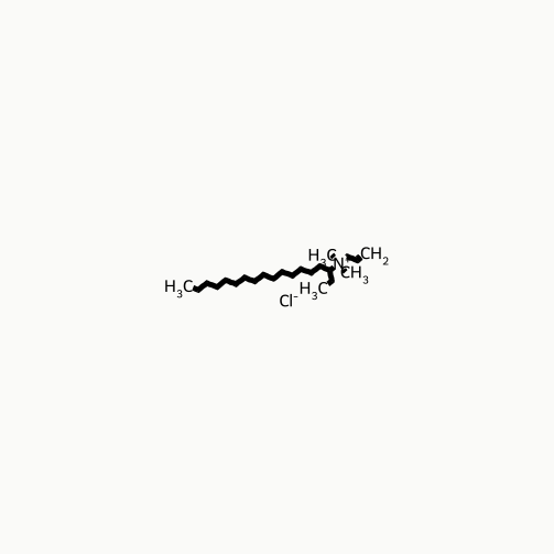 C=CC[N+](C)(C)C(CC)CCCCCCCCCCCCCCC.[Cl-]